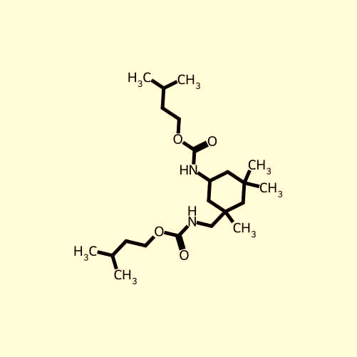 CC(C)CCOC(=O)NCC1(C)CC(NC(=O)OCCC(C)C)CC(C)(C)C1